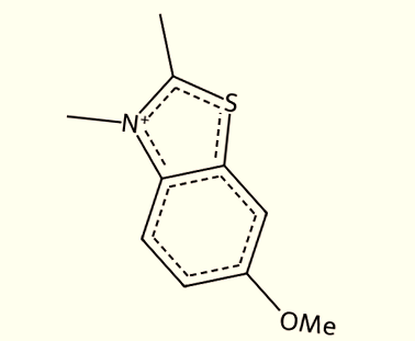 COc1ccc2c(c1)sc(C)[n+]2C